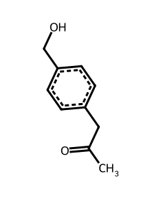 CC(=O)Cc1ccc(CO)cc1